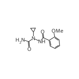 COc1ccccc1C(=O)NN(C(N)=O)C1CC1